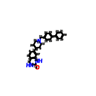 O=C1NCc2ccc(C3CCN(Cc4ccc(-c5ccccc5)cc4)CC3)cc2N1